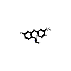 C/C=C/c1ccc(F)cc1Cc1cccc([N+](=O)[O-])c1